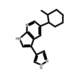 CC1CCCCC1c1cnc2[nH]cc(-c3cn[nH]c3)c2c1